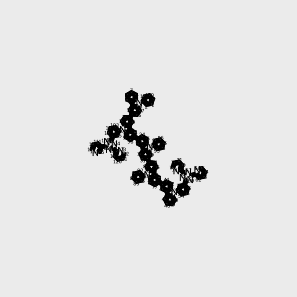 c1ccc(-n2c3ccccc3c3cc(-c4ccc5c(c4)c4cc(-c6ccc7c(c6)c6ccc(-c8ccc9c%10cc(-c%11ccc%12c(c%11)c%11ccccc%11n%12-c%11cccc(-c%12nc(-c%13ccccn%13)nc(-c%13ccccn%13)n%12)c%11)ccc%10n(-c%10ccccc%10)c9c8)cc6n7-c6ccccc6)ccc4n5-c4cccc(-c5nc(-c6cccnc6)nc(-c6ccccn6)n5)c4)ccc32)cc1